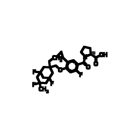 CCC1(COc2cc(F)c(C(=O)N3CCC[C@H]3C(=O)O)cc2C2CC2)CC2(F)CC(C)(F)CC(F)(C2)C1